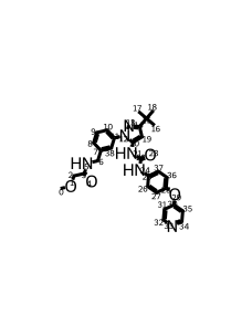 COCC(=O)NCc1cccc(-n2nc(C(C)(C)C)cc2NC(=O)Nc2ccc(Oc3ccncc3)cc2)c1